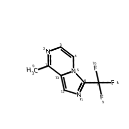 Cc1nccn2c(C(F)(F)F)ncc12